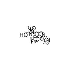 CCn1c(CO)nn(-c2cc(O[C@@H](C)C(F)(F)F)c3c(Oc4c(C)noc4C)nccc3c2)c1=O